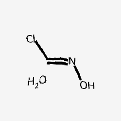 O.ON=CCl